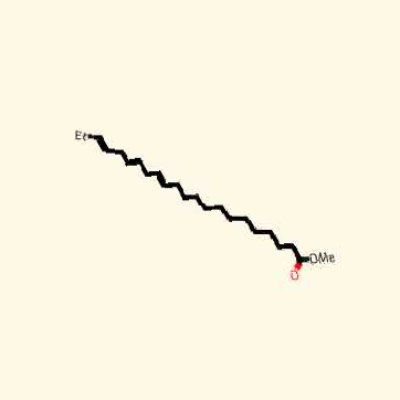 CCC=CCC=CCC=CCCCCCCCCCCCC(=O)OC